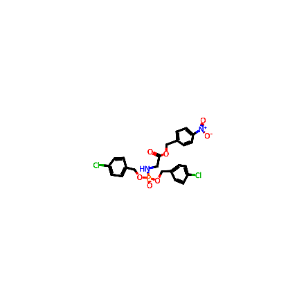 O=C(CNP(=O)(OCc1ccc(Cl)cc1)OCc1ccc(Cl)cc1)OCc1ccc([N+](=O)[O-])cc1